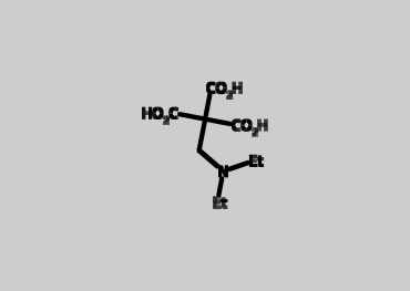 CCN(CC)CC(C(=O)O)(C(=O)O)C(=O)O